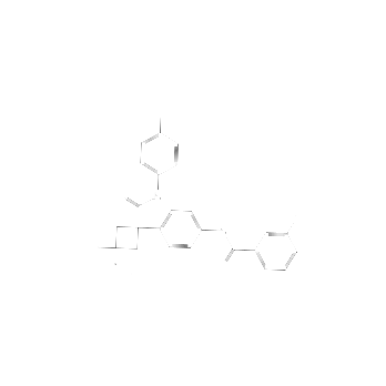 C[C@]1(O)C[C@@](C(=O)Nc2ccc(F)cc2)(c2ccc(NC(=O)c3cccc(Cl)c3)cc2)C1